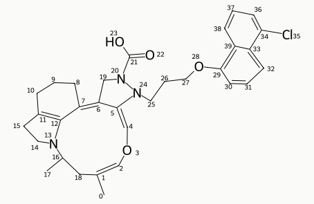 C/C1=C/O/C=C2\C(=C3\CCCC4=C3N(CC4)C(C)C1)CN(C(=O)O)N2CCCOc1cccc2c(Cl)cccc12